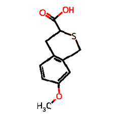 COc1ccc2c(c1)CSC(C(=O)O)C2